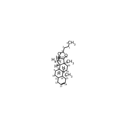 CCCC1O[C@@H]2C[C@H]3[C@@H]4CCC5CC=CC[C@]5(C)[C@H]4CC[C@]3(C)[C@]2(CC)O1